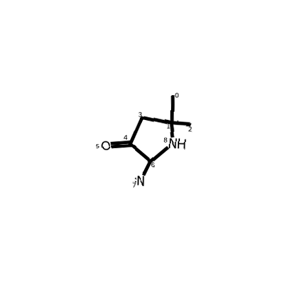 CC1(C)CC(=O)C([N])N1